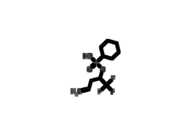 C=CCC(OP(=O)(O)C1CCCCC1)C(F)(F)F